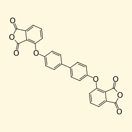 O=C1OC(=O)c2c(Oc3ccc(-c4ccc(Oc5cccc6c5C(=O)OC6=O)cc4)cc3)cccc21